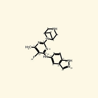 Cc1nc(N2C3CNCC2C3)nc(Nc2ccc3[nH]ncc3c2)c1F